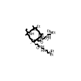 C=Cc1c(C)c2cc3nc(c(CC(=O)NCCNCCN(CC)CC)c4[nH]c(cc5nc(cc1[nH]2)C(C)=C5CC)c(C)c4C(=O)O)[C@@H](CCC(=O)NCCNCCN(CC)CC)[C@@H]3C